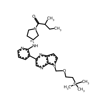 CCC(C)C(=O)N1CC[C@@H](Nc2ncccc2-c2cnc3c(ccn3COCC[Si](C)(C)C)n2)C1